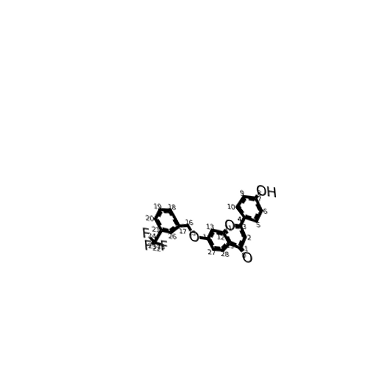 O=c1cc(-c2ccc(O)cc2)oc2cc(OCc3cccc(C(F)(F)F)c3)ccc12